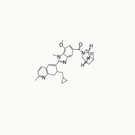 COc1cc(C(=O)N2C[C@H]3CC4C[C@@H]2[C@H]43)cc2nc(C3=Cc4ccc(C)nc4CC3CC3CC3)n(C)c12